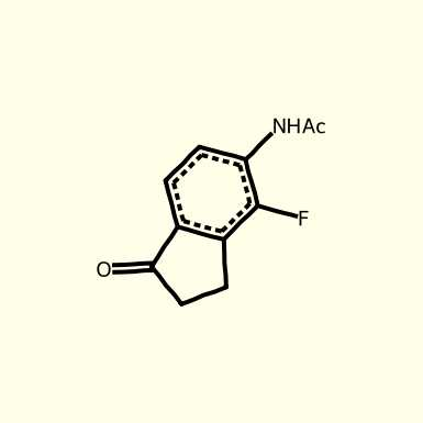 CC(=O)Nc1ccc2c(c1F)CCC2=O